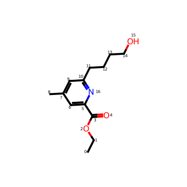 CCOC(=O)c1cc(C)cc(CCCCO)n1